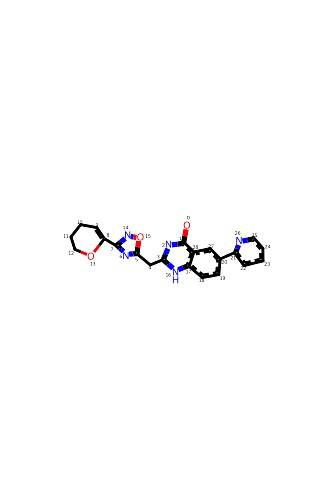 O=c1nc(Cc2nc(C3=CCCCO3)no2)[nH]c2ccc(-c3ccccn3)cc12